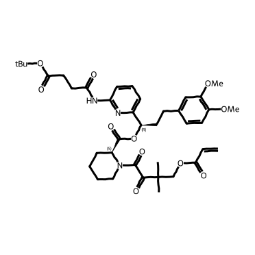 C=CC(=O)OCC(C)(C)C(=O)C(=O)N1CCCC[C@H]1C(=O)O[C@H](CCc1ccc(OC)c(OC)c1)c1cccc(NC(=O)CCC(=O)OC(C)(C)C)n1